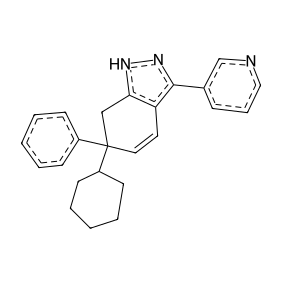 C1=CC(c2ccccc2)(C2CCCCC2)Cc2[nH]nc(-c3cccnc3)c21